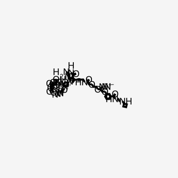 [N-]=[N+]=NCO[C@@H]1C[C@H](n2cc(C#CCNC(=O)COCCOC(COc3cccc(C(=O)NCCNC4CCC4)c3)N=[N+]=[N-])c3c(=O)[nH]c(N)nc32)O[C@@H]1COP(=O)(O)OP(=O)(O)OP(=O)(O)O